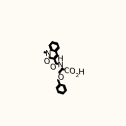 Cn1c(=O)c(C(=O)NC(COCc2ccccc2)C(=O)O)cc2ccccc21